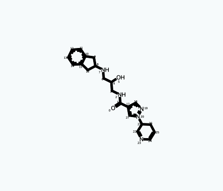 O=C(NCC(O)CNC1Cc2ccccc2C1)c1cnn(C2C=NC=CC2)c1